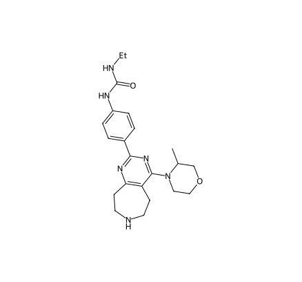 CCNC(=O)Nc1ccc(-c2nc3c(c(N4CCOCC4C)n2)CCNCC3)cc1